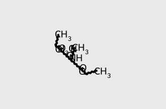 CCCCCC/C=C\COC(=O)CCCCCCCC(CCCCCCCC(=O)OC/C=C\CCCCCC)NC(=O)CCCN(C)C